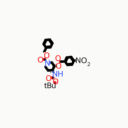 CC(C)(C)OC(=O)N[C@H]1CCN(C(=O)OCc2ccccc2)C[C@H]1OC(=O)c1ccc([N+](=O)[O-])cc1